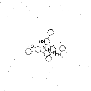 CN1C(c2ccccc2)=NC(C2C=C(C3=CC=CCC3)CNC2N2c3ccccc3C3C=C4C(CC32)OC2=CC=CCC24)=NC1C1=CCCC=C1